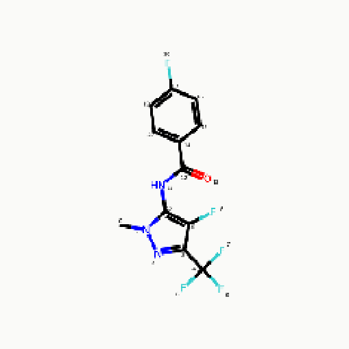 Cn1nc(C(F)(F)F)c(F)c1NC(=O)c1ccc(F)cc1